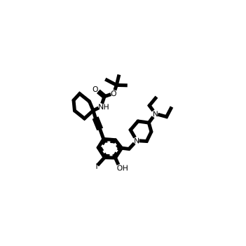 CCN(CC)C1CCN(Cc2cc(C#CC3(NC(=O)OC(C)(C)C)CCCCC3)cc(I)c2O)CC1